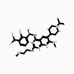 COCCNc1nc(N[C@H](C)c2cccc(C(F)F)c2F)c2cc(C3CCN(C(C)C)CC3)c(OC)nc2n1